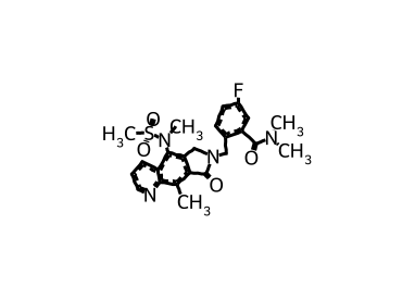 Cc1c2c(c(N(C)S(C)(=O)=O)c3cccnc13)CN(Cc1ccc(F)cc1C(=O)N(C)C)C2=O